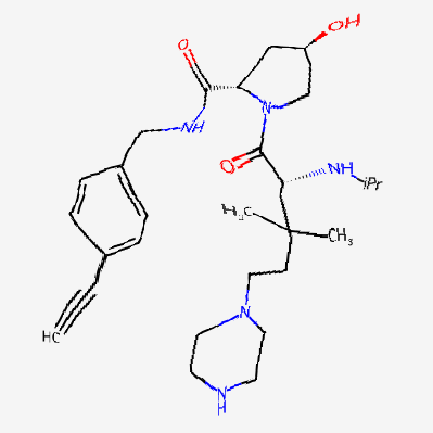 C#Cc1ccc(CNC(=O)[C@@H]2C[C@@H](O)CN2C(=O)[C@H](NC(C)C)C(C)(C)CCN2CCNCC2)cc1